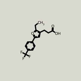 CCc1oc(-c2ccc(C(F)(F)F)cc2)cc1CCC(=O)O